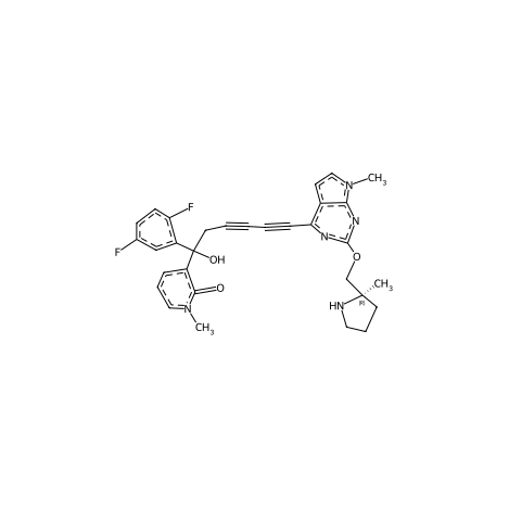 Cn1cccc(C(O)(CC#CC#Cc2nc(OC[C@@]3(C)CCCN3)nc3c2ccn3C)c2cc(F)ccc2F)c1=O